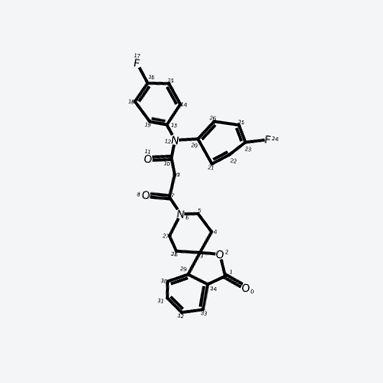 O=C1OC2(CCN(C(=O)CC(=O)N(c3ccc(F)cc3)c3ccc(F)cc3)CC2)c2ccccc21